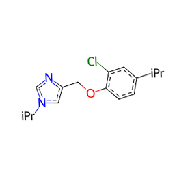 CC(C)c1ccc(OCc2cn(C(C)C)cn2)c(Cl)c1